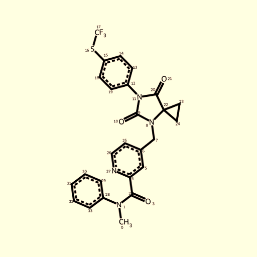 CN(C(=O)c1cc(CN2C(=O)N(c3ccc(SC(F)(F)F)cc3)C(=O)C23CC3)ccn1)c1ccccc1